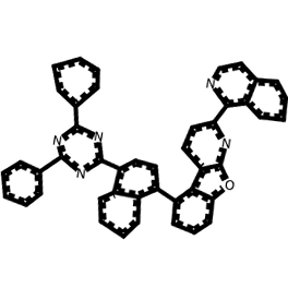 c1ccc(-c2nc(-c3ccccc3)nc(-c3ccc(-c4cccc5oc6nc(-c7nccc8ccccc78)ccc6c45)c4ccccc34)n2)cc1